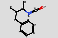 CC(Cc1ccccc1)C(C)N=C=O